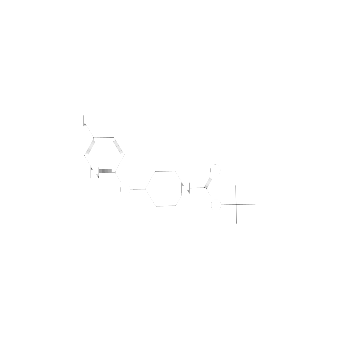 CC(C)(C)OC(=O)N1CCC(Oc2ccc(I)cn2)CC1